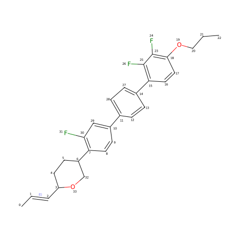 C/C=C/C1CCC(c2ccc(-c3ccc(-c4ccc(OCCC)c(F)c4F)cc3)cc2F)CO1